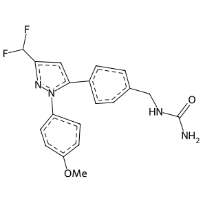 COc1ccc(-n2nc(C(F)F)cc2-c2ccc(CNC(N)=O)cc2)cc1